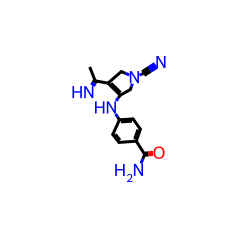 CC(=N)C1=C(Nc2ccc(C(N)=O)cc2)CN(C#N)C1